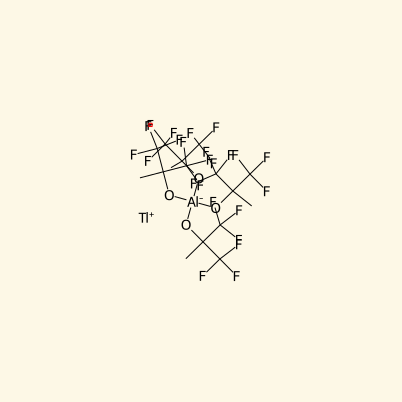 CC([O][Al-]([O]C(C)(C(F)(F)F)C(F)(F)F)([O]C(C)(C(F)(F)F)C(F)(F)F)[O]C(C)(C(F)(F)F)C(F)(F)F)(C(F)(F)F)C(F)(F)F.[Tl+]